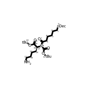 CCCCCCCCCCCCCCCC(=O)N(C(=O)OC(C)(C)C)[C@@H](CCCCN)C(=O)OC(C)(C)C